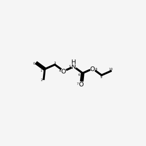 C=C(C)CONC(=O)OCC